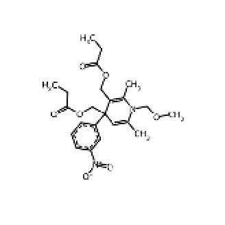 CCC(=O)OCC1=C(C)N(COC)C(C)=CC1(COC(=O)CC)c1cccc([N+](=O)[O-])c1